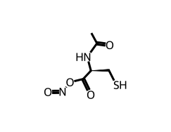 CC(=O)N[C@@H](CS)C(=O)ON=O